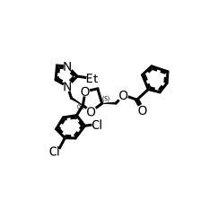 CCc1nccn1C[C@@]1(c2ccc(Cl)cc2Cl)OC[C@@H](COC(=O)c2ccccc2)O1